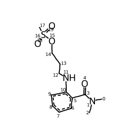 CN(C)C(=O)c1ccccc1NCCCOS(C)(=O)=O